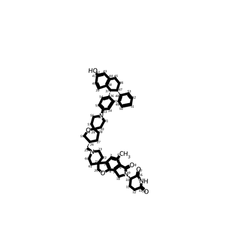 Cc1cc2c(c3c1C(=O)N([C@H]1CCC(=O)NC1=O)C3)OCC21CCN(C[C@H]2CCC3(CCN(c4ccc([C@@H]5c6ccc(O)cc6CC[C@@H]5c5ccccc5)cc4)CC3)OC2)CC1